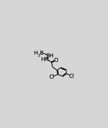 BBNC(=O)Cc1ccc(Cl)cc1Cl